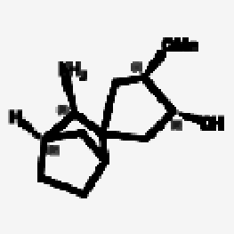 CO[C@@H]1CC2(C[C@H]1O)C1CC[C@H](C1)[C@H]2N